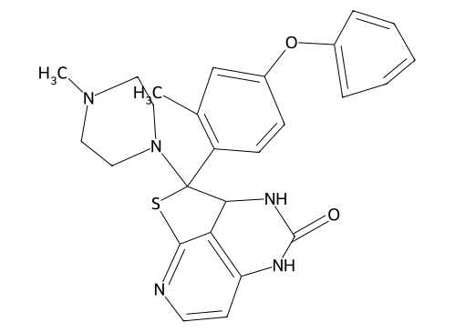 Cc1cc(Oc2ccccc2)ccc1C1(N2CCN(C)CC2)Sc2nccc3c2C1NC(=O)N3